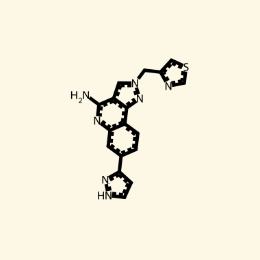 Nc1nc2cc(-c3cc[nH]n3)ccc2c2nn(Cc3cscn3)cc12